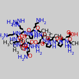 CC(C)[C@H](NC(=O)[C@H](CCCCN)NC(=O)[C@H](CCCNC(=N)N)NC(=O)[C@@H]1CCCN1C(=O)[C@H](CCCCN)NC(=O)[C@H](C)NC(=O)[C@H](CCC(N)=O)NC(=O)[C@@H]1CCCN1C(=O)[C@@H](NC(=O)[C@@H]1CCCN1C(=O)[C@H](CCC(=O)O)NC(=O)[C@H](C)N)C(C)C)C(=O)N[C@@H](C)C(=O)N[C@@H](C)C(=O)N[C@@H](CCC(N)=O)C(=O)O